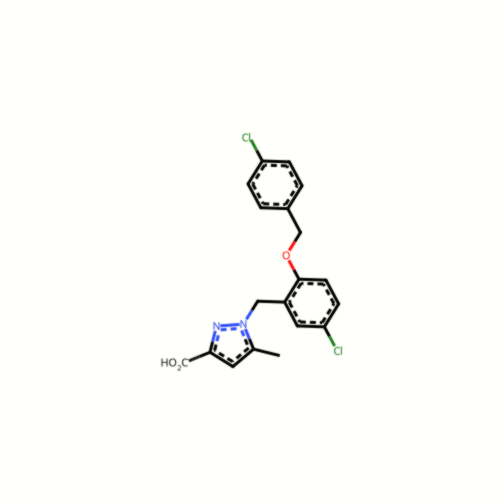 Cc1cc(C(=O)O)nn1Cc1cc(Cl)ccc1OCc1ccc(Cl)cc1